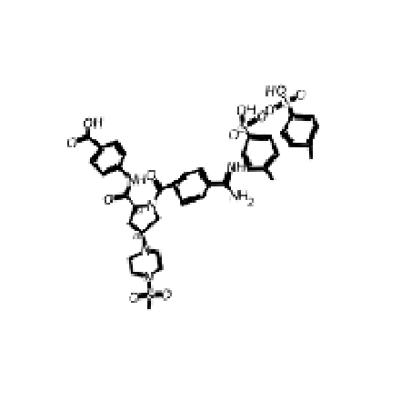 CS(=O)(=O)N1CCN([C@H]2C[C@@H](C(=O)Nc3ccc(C(=O)O)cc3)N(C(=O)c3ccc(C(=N)N)cc3)C2)CC1.Cc1ccc(S(=O)(=O)O)cc1.Cc1ccc(S(=O)(=O)O)cc1